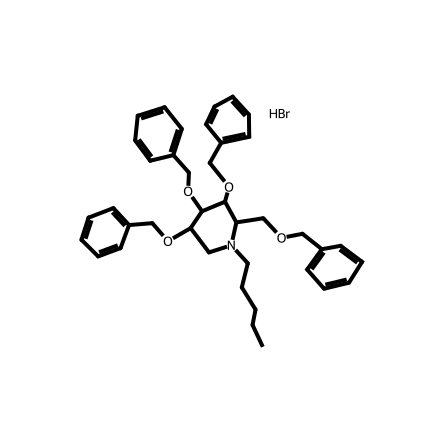 Br.CCCCCN1CC(OCc2ccccc2)C(OCc2ccccc2)C(OCc2ccccc2)C1COCc1ccccc1